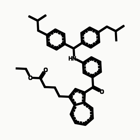 CCOC(=O)CCCc1cc(C(=O)c2cccc(NC(c3ccc(CC(C)C)cc3)c3ccc(CC(C)C)cc3)c2)c2cccccc1-2